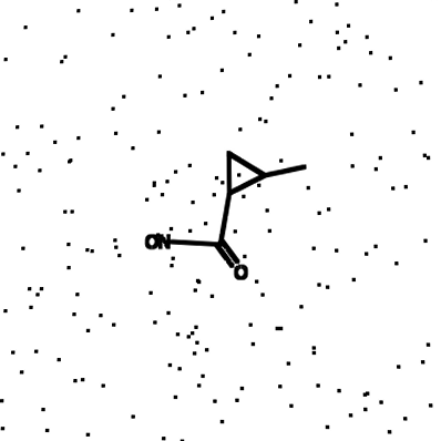 CC1CC1C(=O)N=O